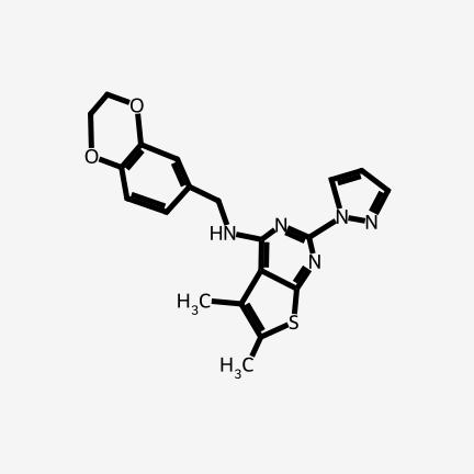 Cc1sc2nc(-n3cccn3)nc(NCc3ccc4c(c3)OCCO4)c2c1C